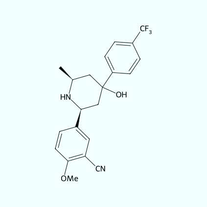 COc1ccc([C@@H]2CC(O)(c3ccc(C(F)(F)F)cc3)C[C@H](C)N2)cc1C#N